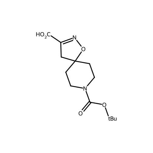 CC(C)(C)OC(=O)N1CCC2(CC1)CC(C(=O)O)=NO2